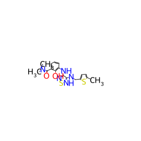 Cc1ccc(CNc2nsnc2Nc2cccc(C(=O)N(C)C)c2O)s1